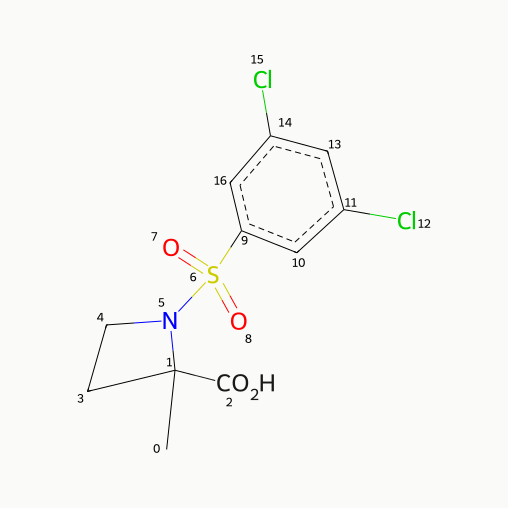 CC1(C(=O)O)CCN1S(=O)(=O)c1cc(Cl)cc(Cl)c1